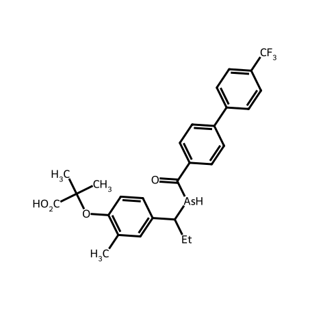 CCC([AsH]C(=O)c1ccc(-c2ccc(C(F)(F)F)cc2)cc1)c1ccc(OC(C)(C)C(=O)O)c(C)c1